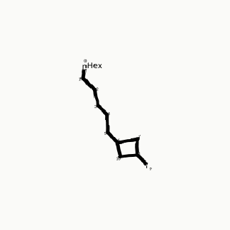 CCCCCCCCCCCC1CC(I)C1